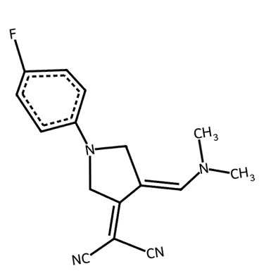 CN(C)C=C1CN(c2ccc(F)cc2)CC1=C(C#N)C#N